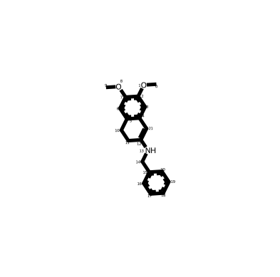 COc1cc2c(cc1OC)CCC(NCc1ccccc1)=C2